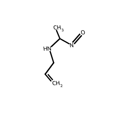 C=CCNC(C)N=O